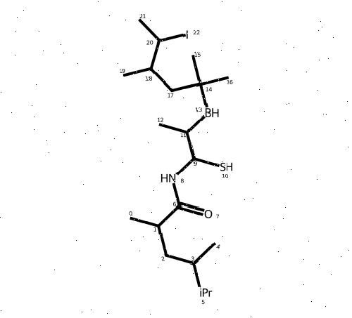 CC(CC(C)C(C)C)C(=O)NC(S)C(C)BC(C)(C)CC(C)C(C)I